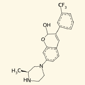 C[C@H]1CN(c2ccc3c(c2)OC(O)C(c2cccc(C(F)(F)F)c2)=C3)CCN1